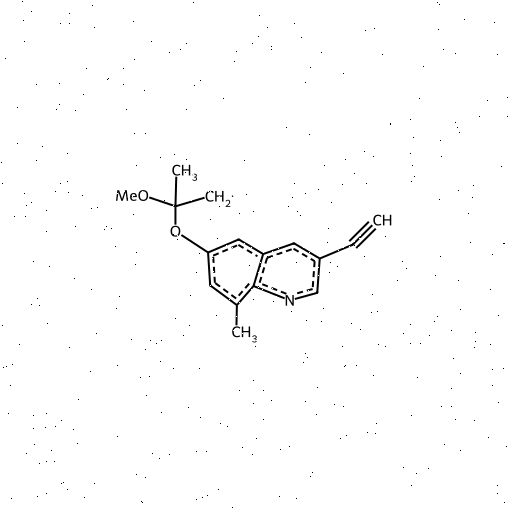 C#Cc1cnc2c(C)cc(OC([CH2])(C)OC)cc2c1